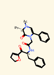 CC(=O)N1C=C(c2ccccc2)N(CC(=O)N[C@@H](Cc2ccccc2)C(=O)C2=CCCO2)C(=O)[C@@H]1C(C)C